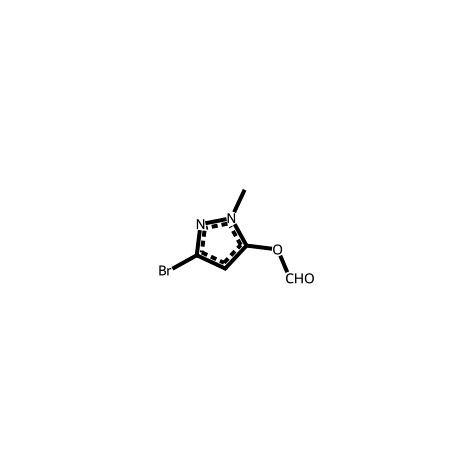 Cn1nc(Br)cc1OC=O